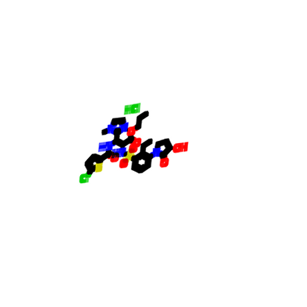 CCCOC(=O)[C@@H](NS(=O)(=O)c1cccc(N2CC[C@H](O)C2=O)c1CC)C(NC(=O)c1ccc(Cl)s1)c1nccn1C.Cl